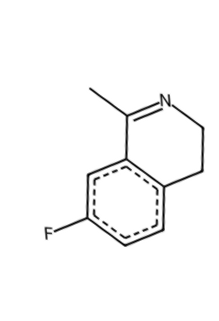 CC1=NCCc2ccc(F)cc21